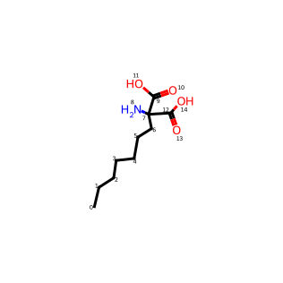 CCCCCCCC(N)(C(=O)O)C(=O)O